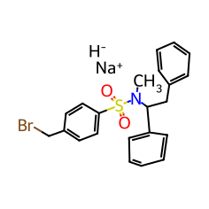 CN(C(Cc1ccccc1)c1ccccc1)S(=O)(=O)c1ccc(CBr)cc1.[H-].[Na+]